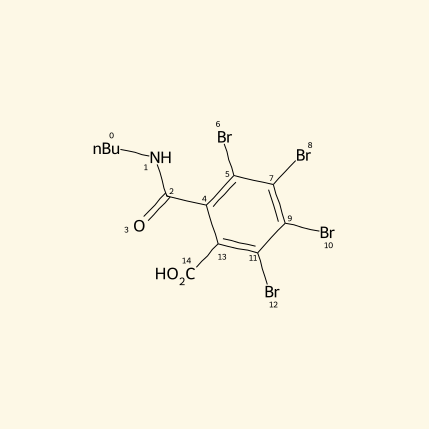 CCCCNC(=O)c1c(Br)c(Br)c(Br)c(Br)c1C(=O)O